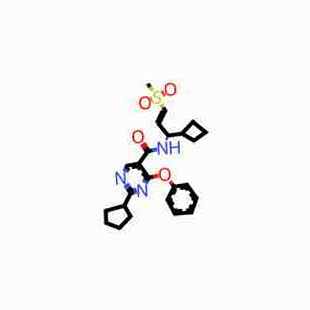 CS(=O)(=O)/C=C/[C@@H](NC(=O)c1cnc(C2CCCC2)nc1Oc1ccccc1)C1CCC1